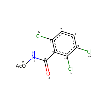 CC(=O)ONC(=O)c1c(Cl)ccc(Cl)c1Cl